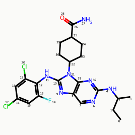 CCC(C)Nc1ncc2nc(Nc3c(F)cc(Cl)cc3Cl)n(C3CCC(C(N)=O)CC3)c2n1